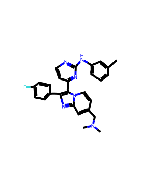 Cc1cccc(Nc2nccc(-c3c(-c4ccc(F)cc4)nc4cc(CN(C)C)ccn34)n2)c1